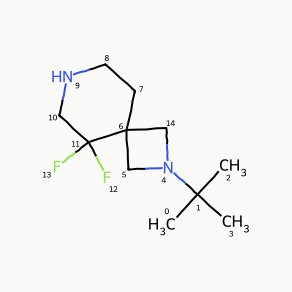 CC(C)(C)N1CC2(CCNCC2(F)F)C1